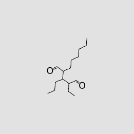 CCCCCCC(C=O)C(CCC)C(C=O)CC